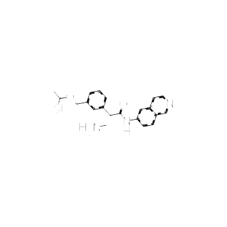 CC(S)OCc1cccc([C@@H](CN)C(=O)Nc2ccc3cnccc3c2)c1